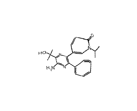 CC(C)n1cc(-c2nc(C(C)(C)O)c(N)nc2-c2ccccc2)ccc1=O